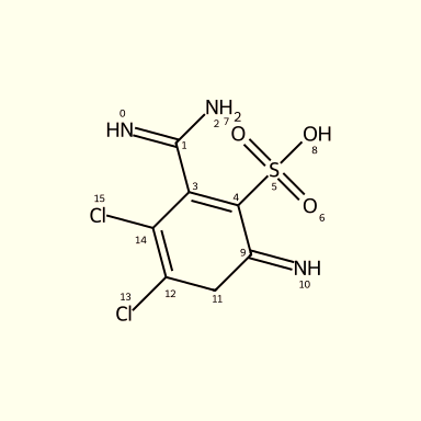 N=C(N)C1=C(S(=O)(=O)O)C(=N)CC(Cl)=C1Cl